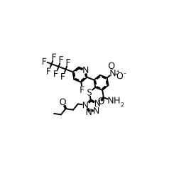 CCC(=O)CCn1nnnc1Sc1c(C(N)=O)cc([N+](=O)[O-])cc1-c1ncc(C(F)(F)C(F)(F)C(F)(F)F)cc1F